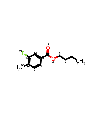 CCCCOC(=O)c1ccc(C)c(F)c1